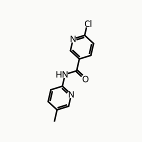 Cc1ccc(NC(=O)c2ccc(Cl)nc2)nc1